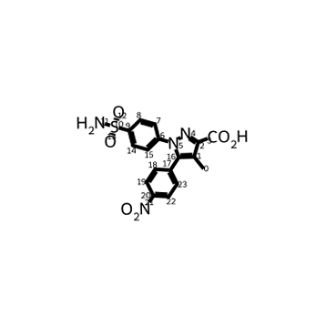 Cc1c(C(=O)O)nn(-c2ccc(S(N)(=O)=O)cc2)c1-c1ccc([N+](=O)[O-])cc1